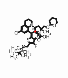 CC(C)(C)[Si](C)(C)OCc1sc2c(-c3cc(Cl)cc4c3N([C@@H]3CN(C(=O)O)[C@@](C)(COC5CCCCO5)C3)CCC4)ccnc2c1F